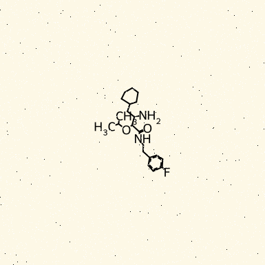 CC(C)OC(C(=O)NCCc1ccc(F)cc1)[C@H](N)CC1CCCCC1